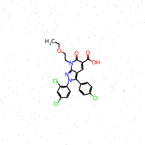 CCOCCn1c(=O)c(C(=O)O)cc2c(-c3ccc(Cl)cc3)n(-c3ccc(Cl)cc3Cl)nc21